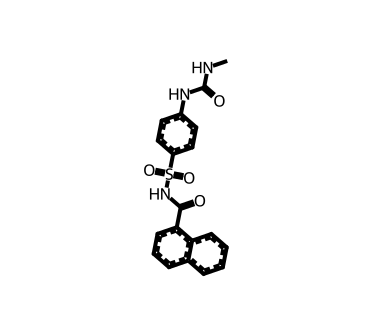 CNC(=O)Nc1ccc(S(=O)(=O)NC(=O)c2cccc3ccccc23)cc1